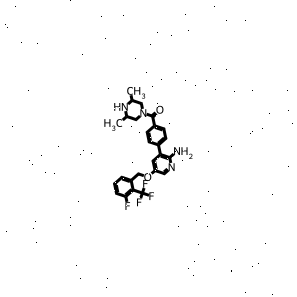 CC1CN(C(=O)c2ccc(-c3cc(OCc4cccc(F)c4C(F)(F)F)cnc3N)cc2)CC(C)N1